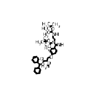 CC(C)(C)OC(=O)NCCN(C(=N)c1ccc(OCC(ON)C(=O)OC(c2ccccc2)c2ccccc2)cc1)C(=O)OC(C)(C)C